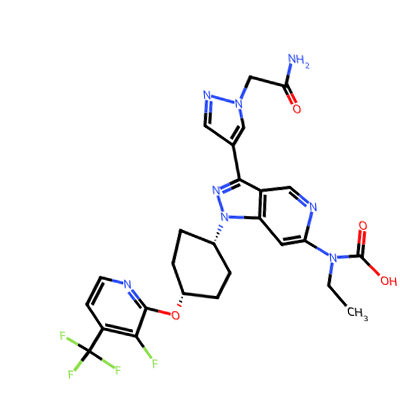 CCN(C(=O)O)c1cc2c(cn1)c(-c1cnn(CC(N)=O)c1)nn2[C@H]1CC[C@@H](Oc2nccc(C(F)(F)F)c2F)CC1